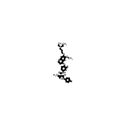 CCN(CC)CCCOc1cc2nccc(Oc3ccc(NC(=O)[C@]4(C(=O)Nc5ccc(F)cc5)C[C@@H]4C)cc3F)c2cc1OC